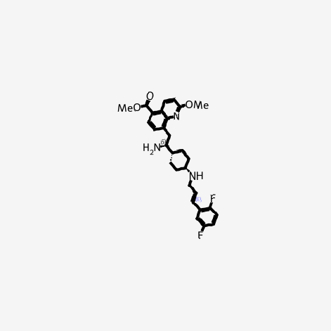 COC(=O)c1ccc(C[C@H](N)[C@H]2CC[C@H](NC/C=C/c3cc(F)ccc3F)CC2)c2nc(OC)ccc12